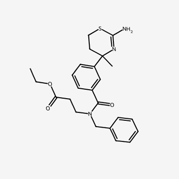 CCOC(=O)CCN(Cc1ccccc1)C(=O)c1cccc(C2(C)CCSC(N)=N2)c1